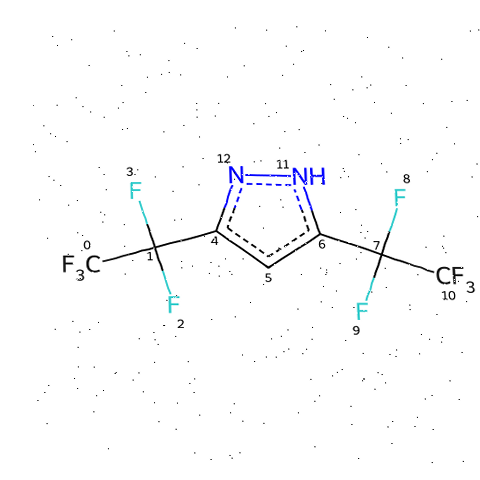 FC(F)(F)C(F)(F)c1cc(C(F)(F)C(F)(F)F)[nH]n1